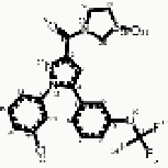 O=C(c1cc(-c2cccc(OC(F)(F)F)c2)n(-c2cccc(Cl)c2)n1)N1CC[S+]([O-])C1